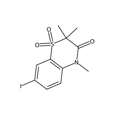 CN1C(=O)C(C)(C)S(=O)(=O)c2cc(I)ccc21